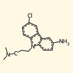 CN(C)CCCn1c2ccc(N)cc2c2cc(Cl)ccc21